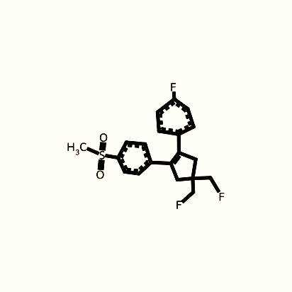 CS(=O)(=O)c1ccc(C2=C(c3ccc(F)cc3)CC(CF)(CF)C2)cc1